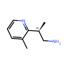 Cc1cccnc1[C@@H](C)CN